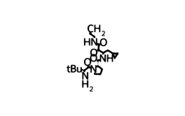 C=CCNC(=O)C(=O)C(CC1CC1)NC(=O)[C@@H]1CCCN1C(=O)[C@@H](N)C(C)(C)C